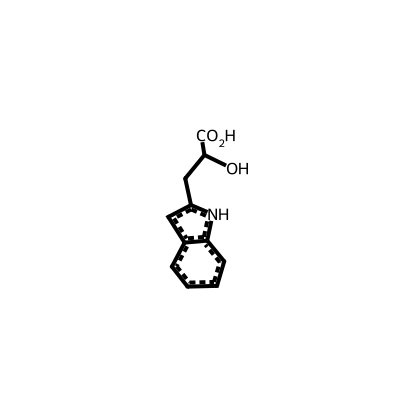 O=C(O)C(O)Cc1cc2ccccc2[nH]1